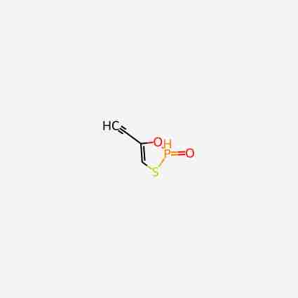 C#CC1=CS[PH](=O)O1